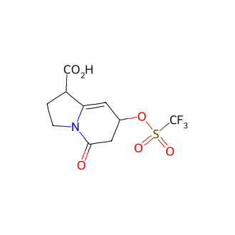 O=C(O)C1CCN2C(=O)CC(OS(=O)(=O)C(F)(F)F)C=C12